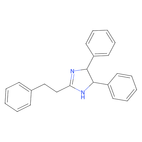 c1ccc(CCC2=NC(c3ccccc3)C(c3ccccc3)N2)cc1